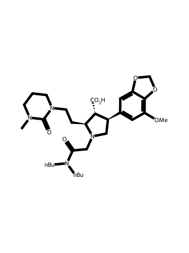 CCCCN(CCCC)C(=O)CN1C[C@H](c2cc(OC)c3c(c2)OCO3)[C@@H](C(=O)O)[C@@H]1CCN1CCCN(C)C1=O